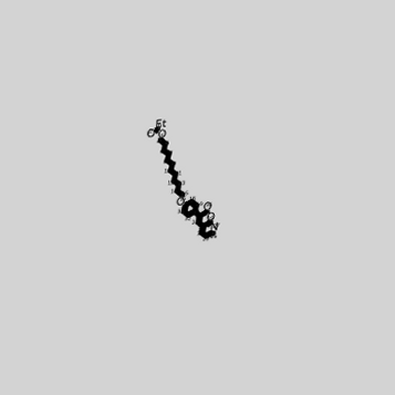 CCC(=O)OCCCCCCCCCCCCOc1ccc(-c2cc3cccnc3oc2=O)cc1